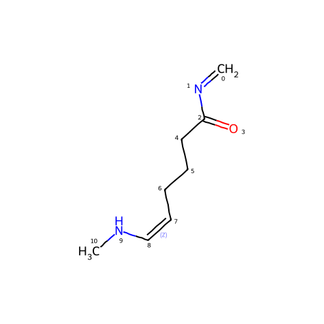 C=NC(=O)CCC/C=C\NC